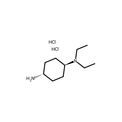 CCN(CC)[C@H]1CC[C@H](N)CC1.Cl.Cl